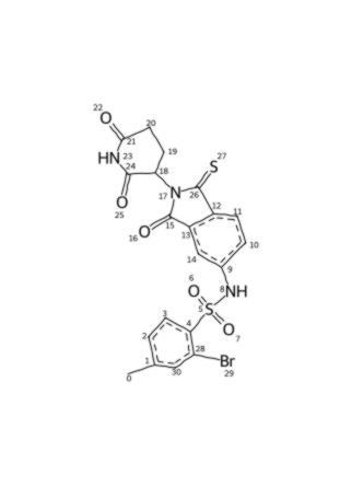 Cc1ccc(S(=O)(=O)Nc2ccc3c(c2)C(=O)N(C2CCC(=O)NC2=O)C3=S)c(Br)c1